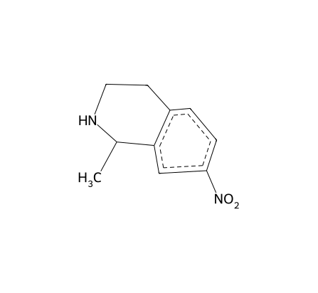 CC1NCCc2ccc([N+](=O)[O-])cc21